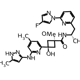 CO[C@]1(C(=O)N[C@@H](C)Cc2cccc(-n3cc(F)cn3)n2)C[C@](O)(c2cc(C)cc(Nc3cc(C)[nH]n3)n2)C1